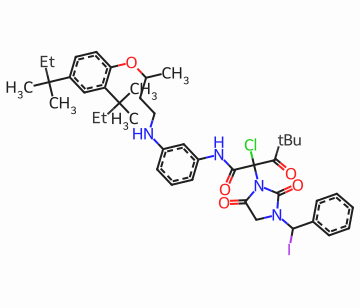 CCC(C)(C)c1ccc(OC(C)CCNc2cccc(NC(=O)C(Cl)(C(=O)C(C)(C)C)N3C(=O)CN(C(I)c4ccccc4)C3=O)c2)c(C(C)(C)CC)c1